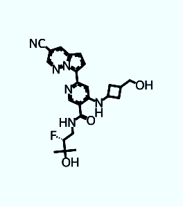 CC(C)(O)[C@H](F)CNC(=O)c1cnc(-c2ccc3cc(C#N)cnn23)cc1NC1CC(CO)C1